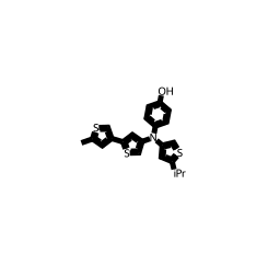 Cc1cc(-c2cc(N(c3ccc(O)cc3)c3csc(C(C)C)c3)cs2)cs1